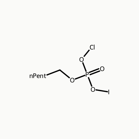 CCCCCCOP(=O)(OCl)OI